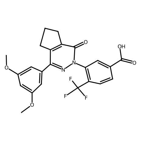 COc1cc(OC)cc(-c2nn(-c3cc(C(=O)O)ccc3C(F)(F)F)c(=O)c3c2CCC3)c1